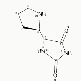 O=C1NC(=O)[C@@H]([C@H]2CCCN2)N1